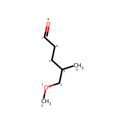 COCC(C)CCC=O